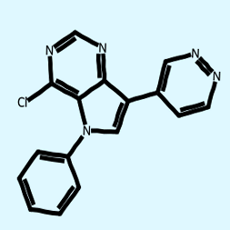 Clc1ncnc2c(-c3ccnnc3)cn(-c3ccccc3)c12